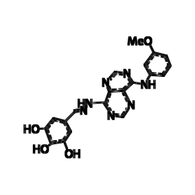 COc1cccc(Nc2ncnc3c(NN=Cc4cc(O)c(O)c(O)c4)ncnc23)c1